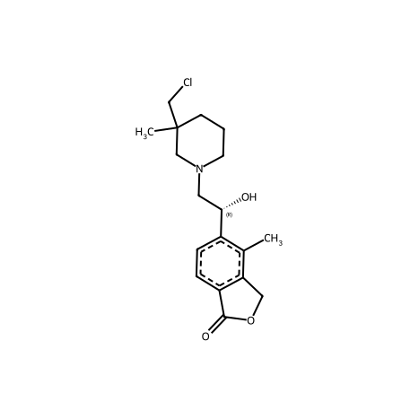 Cc1c([C@@H](O)CN2CCCC(C)(CCl)C2)ccc2c1COC2=O